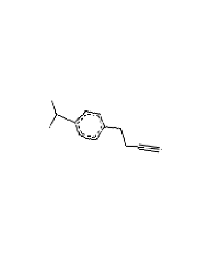 [C]#CCCc1ccc(C(C)C)cc1